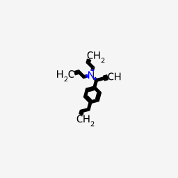 C#CC(c1ccc(CC=C)cc1)N(CC=C)CC=C